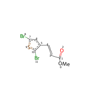 COC(=O)C=Cc1cc(Br)sc1Br